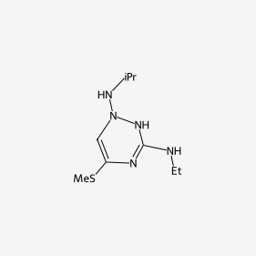 CCNC1=NC(SC)=CN(NC(C)C)N1